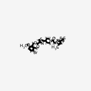 COc1ccc(Br)c2c1COC(c1csc(C3CCN(C(=O)Cn4nc(C(F)(F)F)cc4C)CC3)n1)OC2